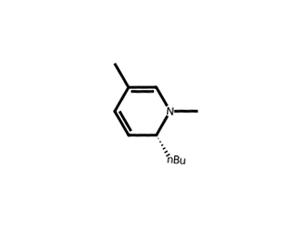 CCCC[C@@H]1C=CC(C)=CN1C